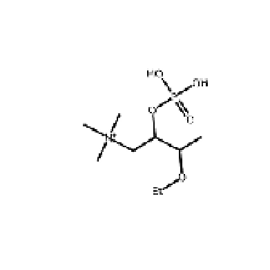 CCOC(C)C(C[N+](C)(C)C)OP(=O)(O)O